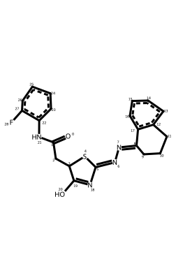 O=C(CC1S/C(=N\N=C2/CCCc3ccccc32)N=C1O)Nc1ccccc1F